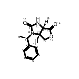 C[C@H](c1ccccc1)N1C(=O)N[C@@H]2C(=O)OC[C@@H]21